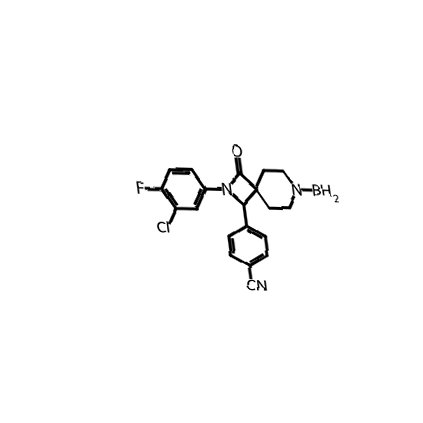 BN1CCC2(CC1)C(=O)N(c1ccc(F)c(Cl)c1)C2c1ccc(C#N)cc1